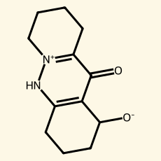 O=c1c2c([nH][n+]3c1CCCC3)CCCC2[O-]